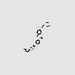 Cc1ccc(S(=O)(=O)NC(=O)Nc2ccc(-n3c(=O)[nH]c4cc(NCCN5CCOCC5)ccc4c3=O)cc2)s1